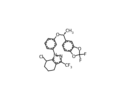 C[C@H](Oc1cccc(-n2nc(C(F)(F)F)c3c2C(Cl)CCC3)c1)c1ccc2c(c1)OC(F)(F)O2